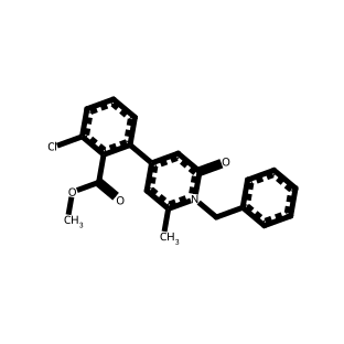 COC(=O)c1c(Cl)cccc1-c1cc(C)n(Cc2ccccc2)c(=O)c1